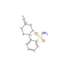 NS(=O)(=O)c1ccccc1C1CCC(=O)CC1